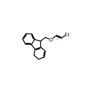 CC/C=C/OCC1C2=C(CCC=C2)c2ccccc21